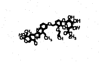 C#CCOc1c(COc2ccc3nc4c(c(CC)c3c2)Cn2c-4cc3c(c2=O)COC(=O)[C@]3(O)CC)ccc(O[C@@H]2O[C@H](C(=O)OC)[C@@H](O)[C@H](O)[C@H]2O)c1C